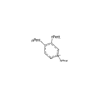 CCCCCC[n+]1ccc(CCCCC)c(CCCCC)c1